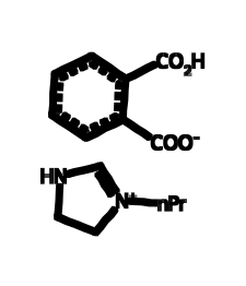 CCC[N+]1=CNCC1.O=C([O-])c1ccccc1C(=O)O